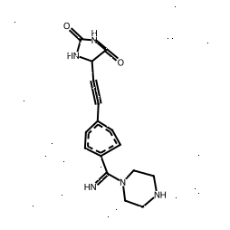 N=C(c1ccc(C#CC2NC(=O)NC2=O)cc1)N1CCNCC1